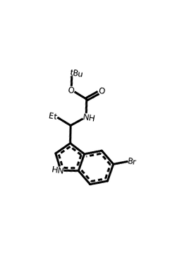 CCC(NC(=O)OC(C)(C)C)c1c[nH]c2ccc(Br)cc12